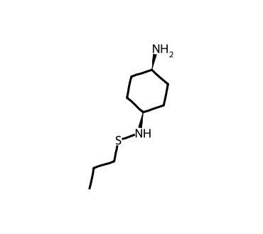 CCCSN[C@H]1CC[C@@H](N)CC1